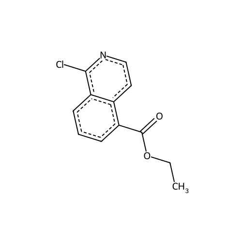 CCOC(=O)c1cccc2c(Cl)nccc12